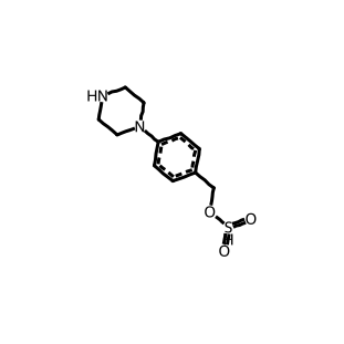 O=[SH](=O)OCc1ccc(N2CCNCC2)cc1